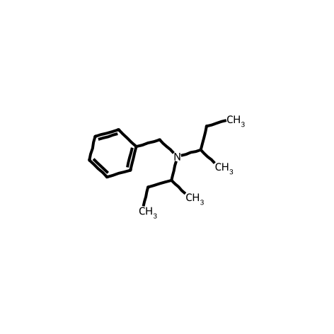 CCC(C)N(Cc1ccccc1)C(C)CC